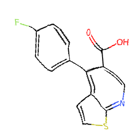 O=C(O)c1cnc2sccc2c1-c1ccc(F)cc1